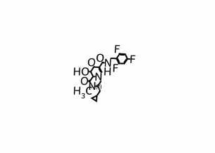 CN1C(=O)C2C(O)C(=O)C(C(=O)NCc3c(F)cc(F)cc3F)=CN2C[C@H]1CC1CC1